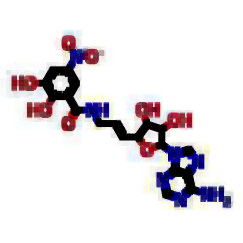 Nc1ncnc2c1ncn2C1OC(/C=C/CNC(=O)c2cc([N+](=O)[O-])cc(O)c2O)C(O)C1O